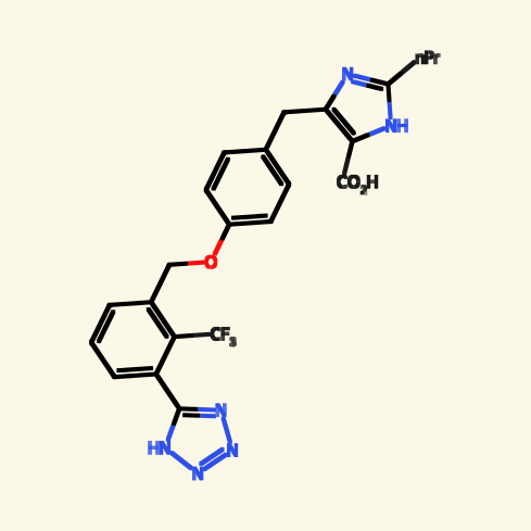 CCCc1nc(Cc2ccc(OCc3cccc(-c4nnn[nH]4)c3C(F)(F)F)cc2)c(C(=O)O)[nH]1